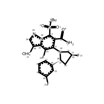 CC(C)(C)S(=O)(=O)c1c(C(N)=O)c(N2C[C@@H](F)C[C@@H]2c2cccc(F)c2)c(F)c2c([C]=O)cnn12